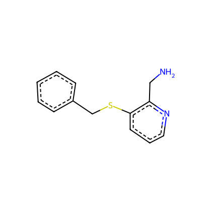 NCc1ncccc1SCc1ccccc1